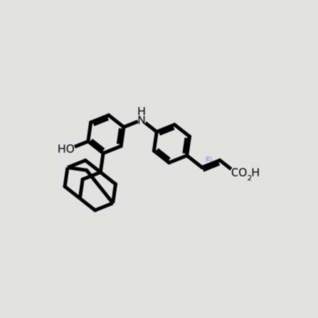 O=C(O)/C=C/c1ccc(Nc2ccc(O)c(C34CC5CC(CC(C5)C3)C4)c2)cc1